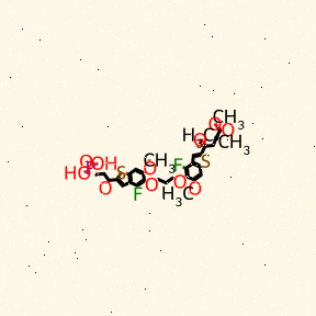 COC(=O)C(C)(C)CC(=O)c1cc2c(F)c(OCCCOc3c(OC)cc4sc(C(=O)CCP(=O)(O)O)cc4c3F)c(OC)cc2s1